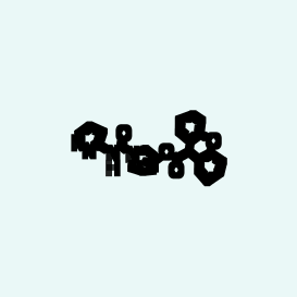 O=C(OC1C[N+]2(C(=O)Nc3cccnn3)CCC1CC2)C1c2ccccc2Oc2ccccc21